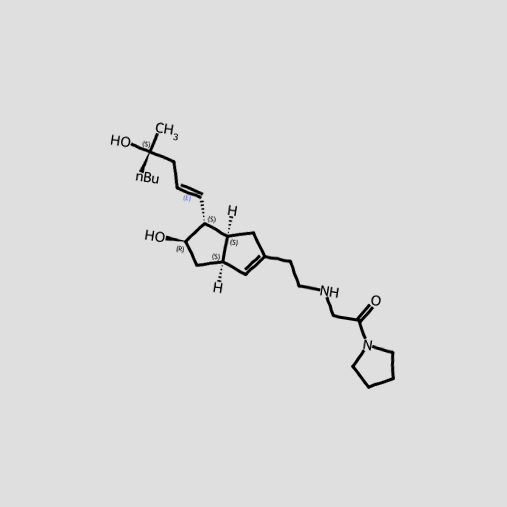 CCCC[C@](C)(O)C/C=C/[C@@H]1[C@H]2CC(CCNCC(=O)N3CCCC3)=C[C@H]2C[C@H]1O